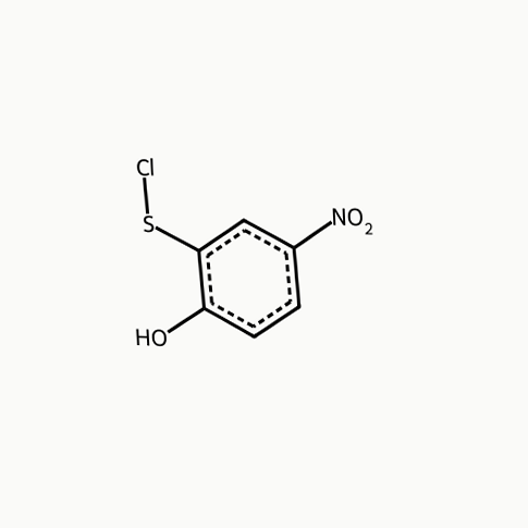 O=[N+]([O-])c1ccc(O)c(SCl)c1